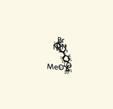 COCC1(Oc2ccc(-c3cnc4c(Br)cnn4c3)cc2)CC1